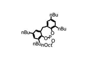 CCCCCCCCOP1Oc2c(CCCC)cc(CCCC)cc2Cc2cc(CCCC)cc(CCCC)c2O1